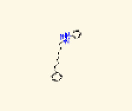 c1ccc(CCCCCCCc2nnn(-c3ccccc3)n2)cc1